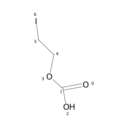 O=C(O)OCCI